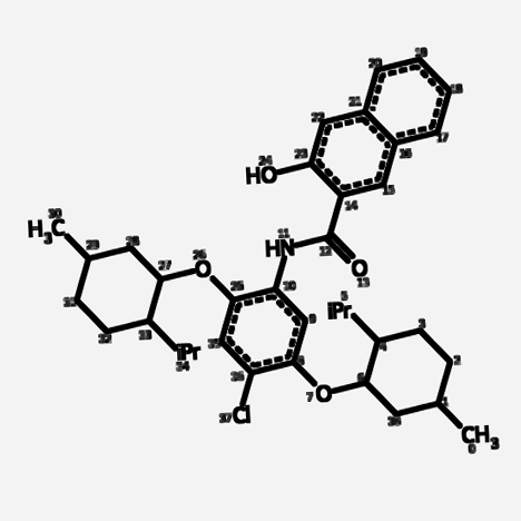 CC1CCC(C(C)C)C(Oc2cc(NC(=O)c3cc4ccccc4cc3O)c(OC3CC(C)CCC3C(C)C)cc2Cl)C1